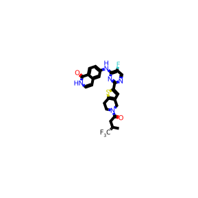 CC(CC(=O)N1CCc2sc(-c3ncc(F)c(Nc4ccc5c(=O)[nH]ccc5c4)n3)cc2C1)C(F)(F)F